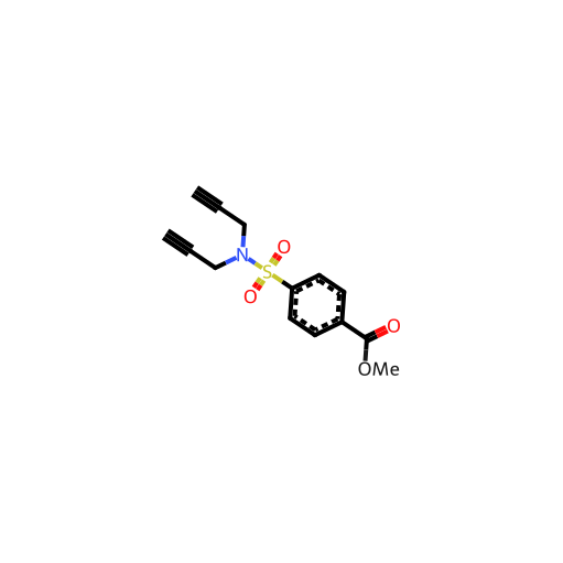 C#CCN(CC#C)S(=O)(=O)c1ccc(C(=O)OC)cc1